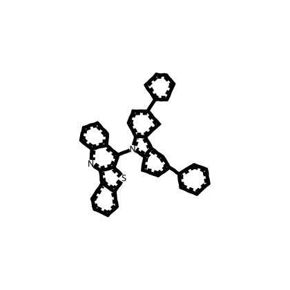 c1ccc(-c2ccc3c(c2)c2cc(-c4ccccc4)ccc2n3-c2c3ccccc3nc3c2sc2ccccc23)cc1